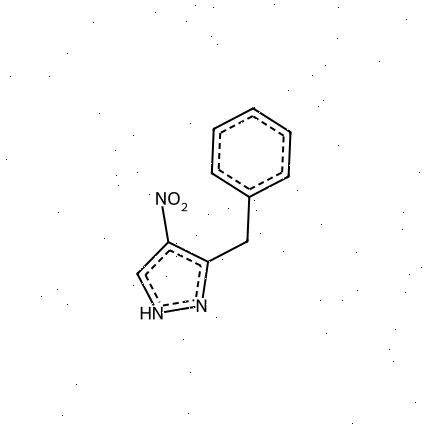 O=[N+]([O-])c1c[nH]nc1Cc1ccccc1